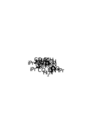 CCOC(=O)C(CC(C)C)NP(=O)(NC(CC(C)C)C(=O)OCC)OC[C@H]1O[C@@H](n2cnc3c(OC(C)C)nc(N)nc32)[C@@](C)(O)C1O